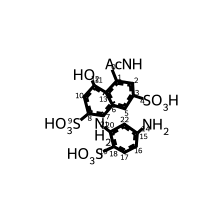 CC(=O)Nc1cc(S(=O)(=O)O)cc2cc(S(=O)(=O)O)cc(O)c12.Nc1ccc(S(=O)(=O)O)c(N)c1